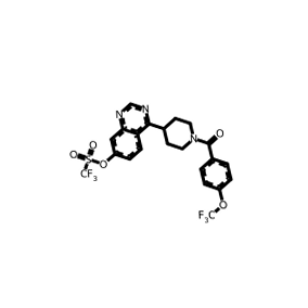 O=C(c1ccc(OC(F)(F)F)cc1)N1CCC(c2ncnc3cc(OS(=O)(=O)C(F)(F)F)ccc23)CC1